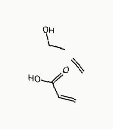 C=C.C=CC(=O)O.CCO